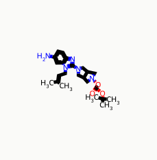 CC(C)=CCn1c(N2CC3CN(OC(=O)OC(C)(C)C)CC3C2)nc2ccc(N)cc21